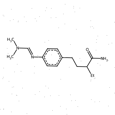 CCC(CCc1ccc(N=CN(C)C)cc1)C(N)=O